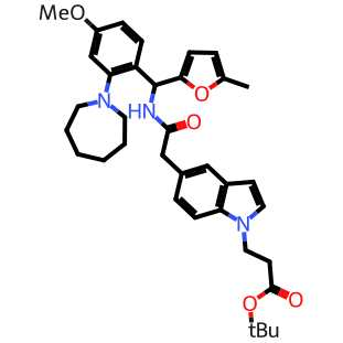 COc1ccc(C(NC(=O)Cc2ccc3c(ccn3CCC(=O)OC(C)(C)C)c2)c2ccc(C)o2)c(N2CCCCCC2)c1